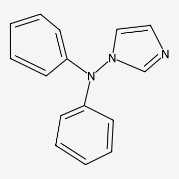 c1ccc(N(c2ccccc2)n2ccnc2)cc1